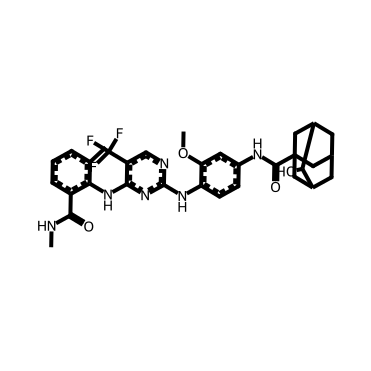 CNC(=O)c1cccc(C)c1Nc1nc(Nc2ccc(NC(=O)C34CC5CC(C3)C(O)C(C5)C4)cc2OC)ncc1C(F)(F)F